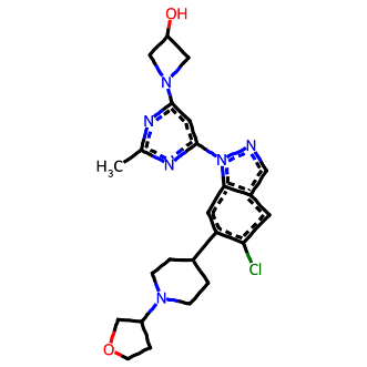 Cc1nc(N2CC(O)C2)cc(-n2ncc3cc(Cl)c(C4CCN(C5CCOC5)CC4)cc32)n1